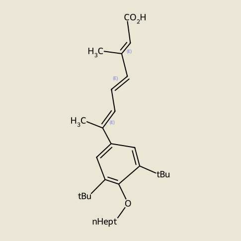 CCCCCCCOc1c(C(C)(C)C)cc(/C(C)=C/C=C/C(C)=C/C(=O)O)cc1C(C)(C)C